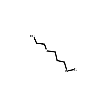 CCNCCCOCCO